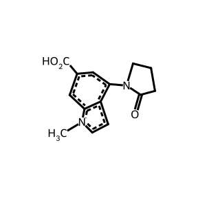 Cn1ccc2c(N3CCCC3=O)cc(C(=O)O)cc21